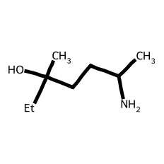 CCC(C)(O)CCC(C)N